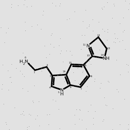 NCCc1c[nH]c2ccc(C3=NCCN3)cc12